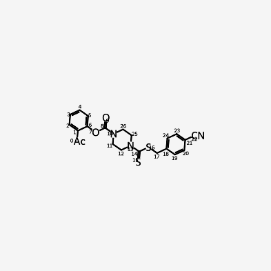 CC(=O)c1ccccc1OC(=O)N1CCN(C(=S)SCc2ccc(C#N)cc2)CC1